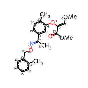 CO/C=C(\Oc1cc(/C(C)=N/OCc2ccccc2C)ccc1C)C(=O)OC